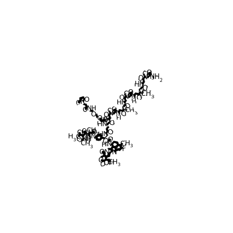 CC[C@@]1(O)C(=O)OCc2c1cc1n(c2=O)Cc2c-1nc1cc(F)c(C)c3c1c2[C@@H](NC(=O)O[C@H](CNC(=O)CC[C@H](NC(=O)COCCOCCNC(=O)CCN1C(=O)C=CC1=O)C(=O)NCC(=O)N(C)CC(=O)NCC(=O)N(C)CC(=O)NCC(=O)N(C)CC(=O)NCC(=O)N(C)CC(=O)NCC(=O)N(C)CC(N)=O)c1ccc(NC(=O)[C@H](C)NC(=O)[C@@H](NC(C)=O)C(C)C)cc1)CC3